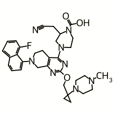 CN1CCN(C2(COc3nc4c(c(N5CCN(C(=O)O)C(CC#N)C5)n3)CCN(c3cccc5cccc(F)c35)C4)CC2)CC1